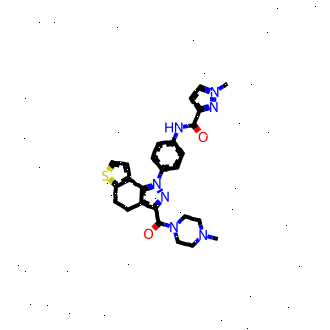 CN1CCN(C(=O)c2nn(-c3ccc(NC(=O)c4ccn(C)n4)cc3)c3c2CCc2sccc2-3)CC1